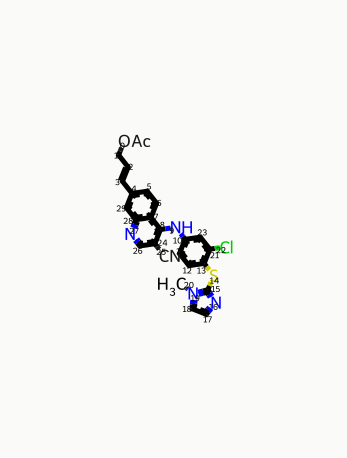 CC(=O)OCC=Cc1ccc2c(Nc3ccc(Sc4nccn4C)c(Cl)c3)c(C#N)cnc2c1